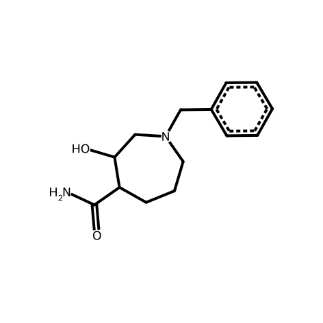 NC(=O)C1CCCN(Cc2ccccc2)CC1O